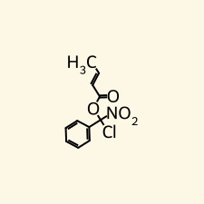 CC=CC(=O)OC(Cl)(c1ccccc1)[N+](=O)[O-]